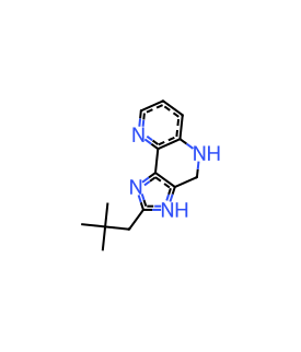 CC(C)(C)Cc1nc2c([nH]1)CNc1cccnc1-2